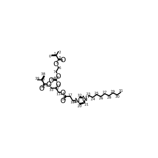 C=C(C)C(=O)OCCOC(=O)OC(COC(=O)CCn1cc[n+](CCCCCCCCC)c1)COC(=O)C(=C)C